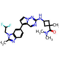 Cc1nc2ccc(-c3ccn4nc(NC5CC(C)(C(=O)N(C)C)C5)ncc34)cc2n1CC(F)F